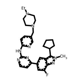 CCN1CCN(Cc2ccc(Nc3nccc(-c4cc(F)c5nn(C)c(C6CCCC6)c5c4)n3)nc2)CC1